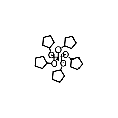 C1CCC([O][Hf]([O]C2CCCC2)([O]C2CCCC2)([O]C2CCCC2)[O]C2CCCC2)C1